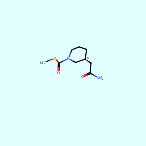 CC(C)(C)OC(=O)N1CCC[C@@H](CC(N)=O)C1